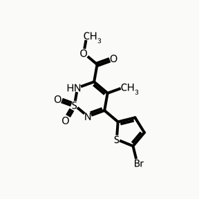 COC(=O)C1=C(C)C(c2ccc(Br)s2)=NS(=O)(=O)N1